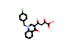 O=C(O)C(=O)CC(=O)c1cn(Cc2ccc(Cl)cc2)c2ccccc2c1=O